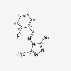 Cc1nnc(S)n1N=Cc1ccccc1Cl